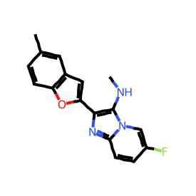 CNc1c(-c2cc3cc(C)ccc3o2)nc2ccc(F)cn12